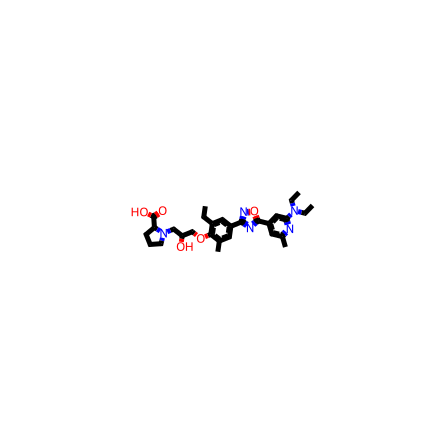 CCc1cc(-c2noc(-c3cc(C)nc(N(CC)CC)c3)n2)cc(C)c1OCC(O)CN1CCCC1C(=O)O